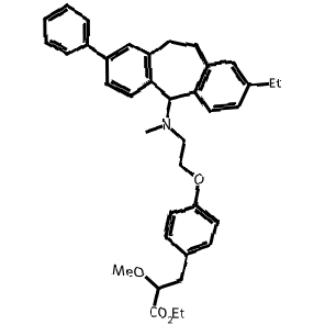 CCOC(=O)C(Cc1ccc(OCCN(C)C2c3ccc(CC)cc3CCc3cc(-c4ccccc4)ccc32)cc1)OC